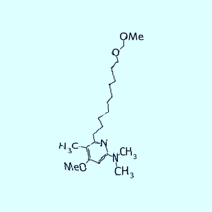 COCOCCCCCCCCCCc1nc(N(C)C)cc(OC)c1C